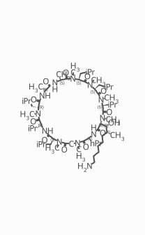 CCC[C@@H]1NC(=O)[C@H]([C@H](O)[C@H](C)CCCCCCN)N(C)C(=O)[C@H](C(C)C)N(C)C(=O)[C@H](CC(C)C)N(C)C(=O)[C@H](CC(C)C)N(C)C(=O)[C@H](C)NC(=O)[C@@H](C)NC(=O)[C@@H](CC(C)C)N(C)C(=O)[C@@H](C(C)C)NC(=O)[C@H](CC(C)C)N(C)C(=O)CN(C)C1=O